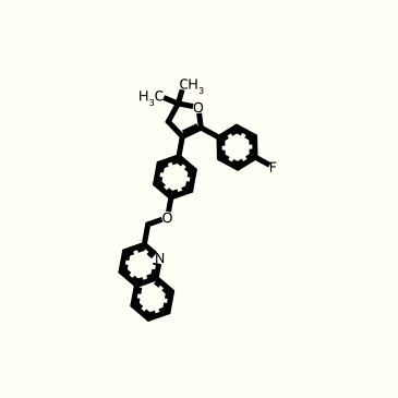 CC1(C)CC(c2ccc(OCc3ccc4ccccc4n3)cc2)=C(c2ccc(F)cc2)O1